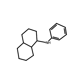 c1ccc(NC2CCCC3CCCCC32)cc1